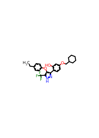 CCc1ccc(Oc2c(-c3ccc(OCC4CCCCC4)cc3O)n[nH]c2C(F)(F)F)cc1